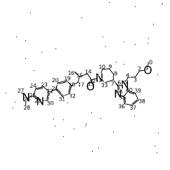 COCCCn1c([C@@H]2CCCN(C(=O)C[C@H](C)Cc3ccc(-c4ccc(N(C)C)nc4)cc3)C2)nc2ccccc21